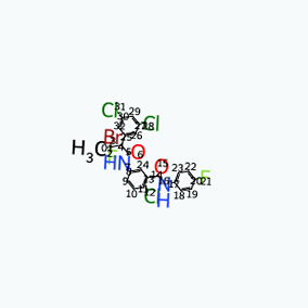 CC(F)(Br)C(C(=O)Nc1ccc(Cl)c(C(=O)Nc2ccc(F)cc2)c1)c1cc(Cl)cc(Cl)c1